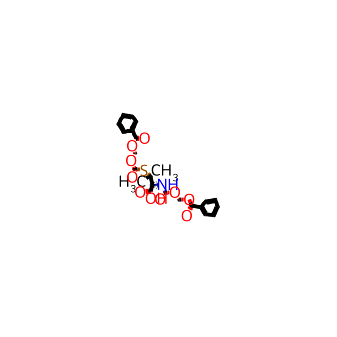 CC(C)(SC(=O)OCOC(=O)c1ccccc1)[C@@H](NC(=O)OCOC(=O)c1ccccc1)C(=O)O